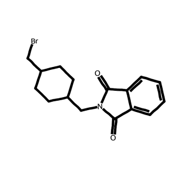 O=C1c2ccccc2C(=O)N1CC1CCC(CBr)CC1